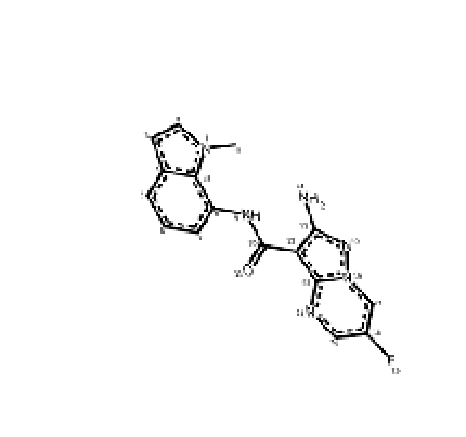 Cn1ccc2cccc(NC(=O)c3c(N)nn4cc(F)cnc34)c21